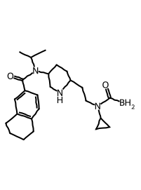 BC(=O)N(CCC1CCC(N(C(=O)c2ccc3c(c2)CCCC3)C(C)C)CN1)C1CC1